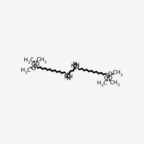 CCO[Si](CCCCCCCCCCCCn1nnnc1CCc1nnnn1CCCCCCCCCCCC[Si](OCC)(OCC)OCC)(OCC)OCC